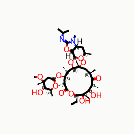 CC[C@H]1OC(=O)[C@H](C)[C@@H](O[C@H]2C[C@@](C)(OC)[C@@H](O)[C@H](C)O2)[C@H](C)[C@@H](O[C@@H]2O[C@H](C)C[C@H]3[C@H]2OC(=NC(C)C)N3C)[C@](C)(OC)C[C@@H](C)C(=O)[C@H](C)[C@@H](O)[C@]1(C)O